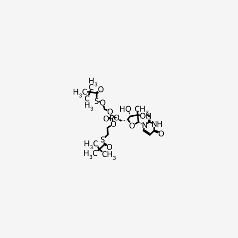 CC(C)(C)C(=O)SCCOP(=O)(OCOSC(=O)C(C)(C)C)OC[C@H]1O[C@@H](n2ccc(=O)[nH]c2=S)C(C)(O)[C@H]1O